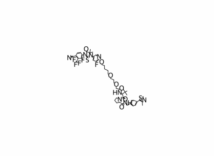 Cc1ncsc1-c1ccc(CNC(=O)C2CCCN2C(=O)C(NC(=O)COCCCOCCCCCOc2ncc(N3C(=S)N(c4ccc(C#N)c(C(F)(F)F)c4F)C(=O)C3(C)C)cc2F)C(C)(C)C)cc1